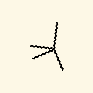 CCCCCCCCCCCCCC[N+](CCCCCCCCCCCC)(CCCCCCCCCCCC)CCCCCCCCCCCC